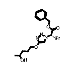 CC(O)CCCOc1cn([C@H](C(=O)OCc2ccccc2)C(C)C)nn1